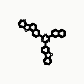 c1ccc2cc(-c3nc(-c4ccc5c(ccc6c7ncccc7oc56)c4)nc(-c4ccc5c(c4)oc4ccccc45)n3)ccc2c1